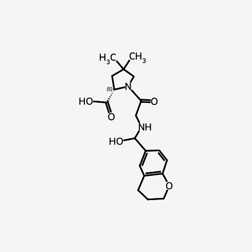 CC1(C)C[C@@H](C(=O)O)N(C(=O)CNC(O)c2ccc3c(c2)CCCO3)C1